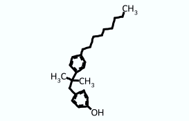 CCCCCCCCCc1ccc(C(C)(C)Cc2ccc(O)cc2)cc1